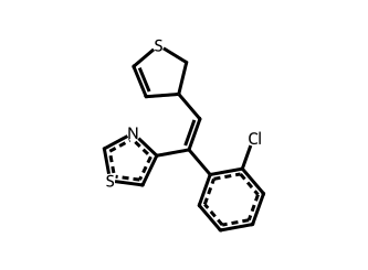 Clc1ccccc1C(=CC1C=CSC1)c1cscn1